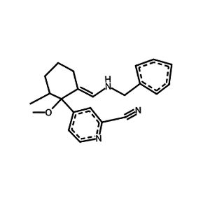 COC1(c2ccnc(C#N)c2)/C(=C/NCc2ccccc2)CCCC1C